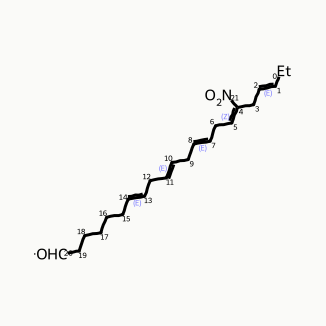 CC/C=C/C/C(=C/C/C=C/C/C=C/C/C=C/CCCCC[C]=O)[N+](=O)[O-]